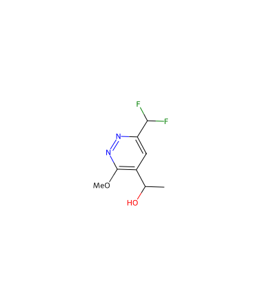 COc1nnc(C(F)F)cc1C(C)O